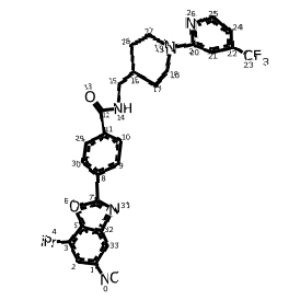 [C-]#[N+]c1cc(C(C)C)c2oc(-c3ccc(C(=O)NCC4CCN(c5cc(C(F)(F)F)ccn5)CC4)cc3)nc2c1